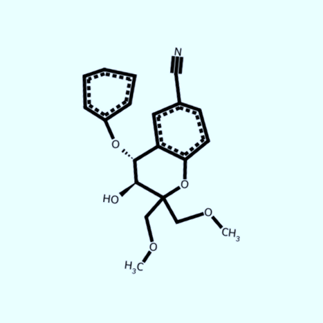 COCC1(COC)Oc2ccc(C#N)cc2[C@@H](Oc2ccccc2)[C@@H]1O